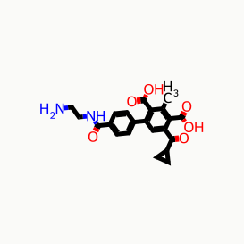 Cc1c(C(=O)O)c(C(=O)C2CC2)cc(-c2ccc(C(=O)NCCN)cc2)c1C(=O)O